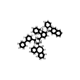 C1=CC2c3cc4ccccc4cc3N(c3ccc(-c4nc(-c5cccc(-c6ccccc6)c5)nc([C@H]5CCc6ccccc6-c6ccccc65)n4)c4c3oc3ccccc34)C2C=C1